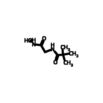 CC(C)(C)C(=O)NCC(=O)NO